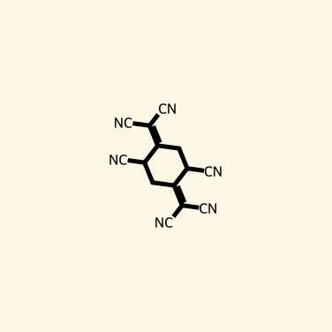 N#CC(C#N)=C1CC(C#N)C(=C(C#N)C#N)CC1C#N